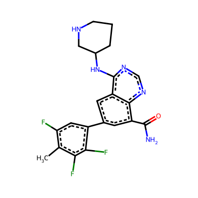 Cc1c(F)cc(-c2cc(C(N)=O)c3ncnc(NC4CCCNC4)c3c2)c(F)c1F